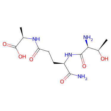 C[C@@H](NC(=O)CC[C@@H](NC(=O)[C@@H](N)[C@@H](C)O)C(N)=O)C(=O)O